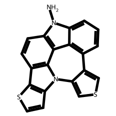 Nn1c2cccc3c4cscc4n4c5ccsc5c5ccc1c(c32)c54